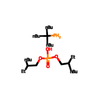 CCCCC(CC)COP(=O)(O)OCC(CC)CCCC.CCCCC(P)(CCCC)CCCC